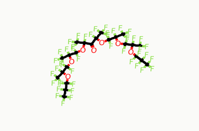 O=C(C(F)(OC(F)(F)C(F)(OC(F)(F)C(F)(OC(F)(F)C(F)(F)C(F)(F)F)C(F)(F)F)C(F)(F)F)C(F)(F)F)C(F)(OC(F)(F)C(F)(OC(F)(F)C(F)(OC(F)(F)C(F)(F)C(F)(F)F)C(F)(F)F)C(F)(F)F)C(F)(F)F